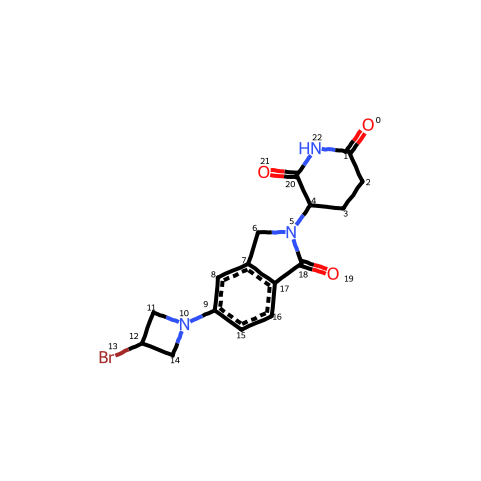 O=C1CCC(N2Cc3cc(N4CC(Br)C4)ccc3C2=O)C(=O)N1